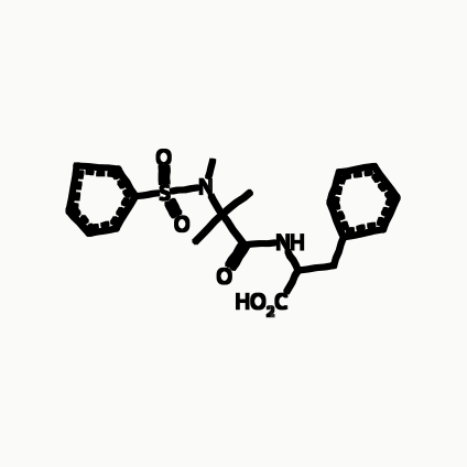 CN(C(C)(C)C(=O)NC(Cc1ccccc1)C(=O)O)S(=O)(=O)c1ccccc1